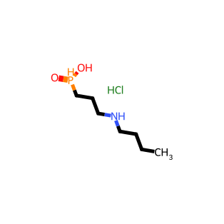 CCCCNCCC[PH](=O)O.Cl